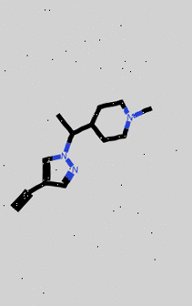 C#Cc1cnn(C(C)C2CCN(C)CC2)c1